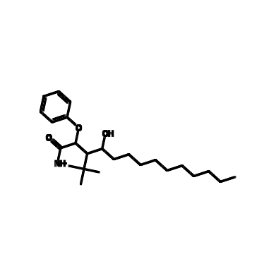 CCCCCCCCCCC(O)C(C(Oc1ccccc1)C([NH])=O)C(C)(C)C